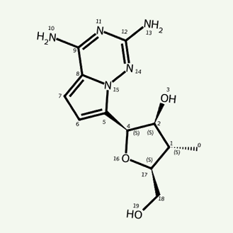 C[C@H]1[C@H](O)[C@H](c2ccc3c(N)nc(N)nn23)O[C@@H]1CO